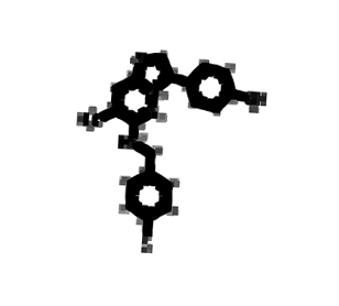 Cc1cc2ncc(-c3ccc(O)cc3)n2nc1NCc1ccc(F)cc1